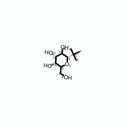 CC(C)(C)[C@@H]1OC(CO)[C@H](O)[C@H](O)C1O